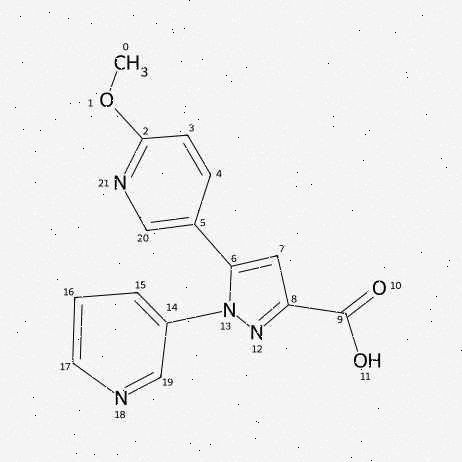 COc1ccc(-c2cc(C(=O)O)nn2-c2cccnc2)cn1